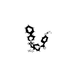 O=C(c1ccc(OC(F)(F)F)cc1)N1CCC(CS(=O)(=O)N2CC=C(c3ccccc3)CC2)(C(=O)O)CC1